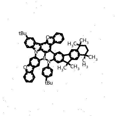 CC(C)(C)c1ccc(N2B3c4cc5c(cc4-n4c6ccc(C(C)(C)C)cc6c6c7oc8ccccc8c7c(c3c64)-c3cc4c(cc32)C(C)(C)c2cc3c(cc2-4)C(C)(C)CCC3(C)C)oc2ccccc25)cc1